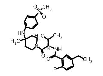 CCc1ccc(F)c(C(=O)N[C@@H](C(=O)N2CCC(C)(Nc3ccc(S(C)(=O)=O)cc3)CC2)C(C)C)c1